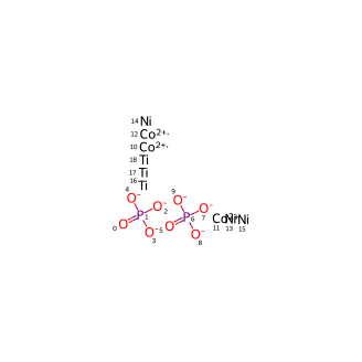 O=P([O-])([O-])[O-].O=P([O-])([O-])[O-].[Co+2].[Co+2].[Co+2].[Ni].[Ni].[Ni].[Ti].[Ti].[Ti]